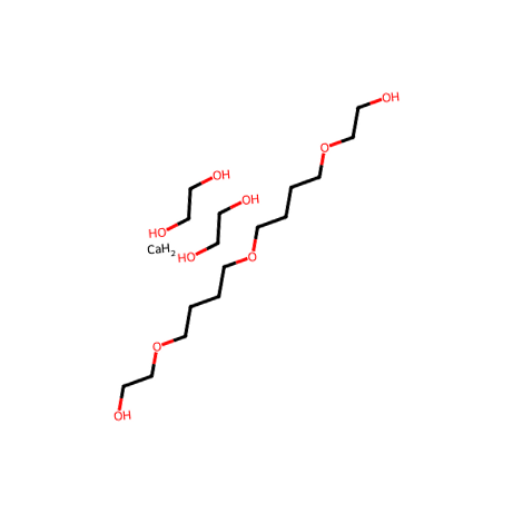 OCCO.OCCO.OCCOCCCCOCCCCOCCO.[CaH2]